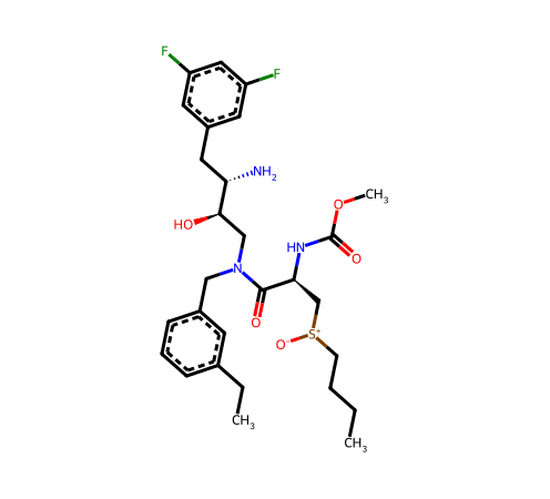 CCCC[S+]([O-])C[C@H](NC(=O)OC)C(=O)N(Cc1cccc(CC)c1)C[C@@H](O)[C@@H](N)Cc1cc(F)cc(F)c1